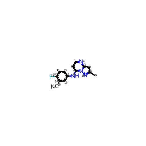 Cc1cc2nccc(Nc3ccc(F)c(C#N)c3)n2n1